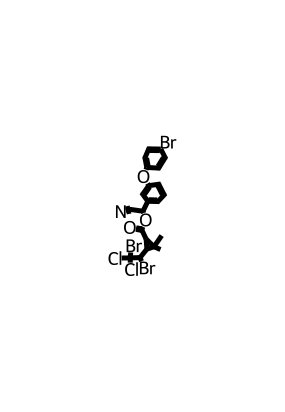 CC1(C)C(C(=O)OC(C#N)c2cccc(Oc3ccc(Br)cc3)c2)C1C(Br)C(Cl)(Cl)Br